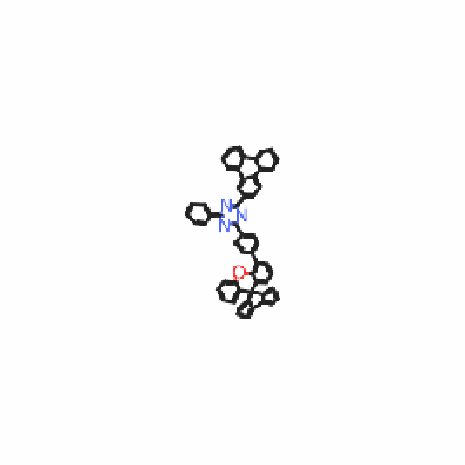 c1ccc(-c2nc(-c3ccc(-c4cccc5c4Oc4ccccc4C54c5ccccc5-c5ccccc54)cc3)nc(-c3ccc4c5ccccc5c5ccccc5c4c3)n2)cc1